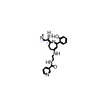 BC(/C=N\C)=C1/CCC(NCCNC(=O)c2cccnc2)=CC(c2ccccc2O)=N1